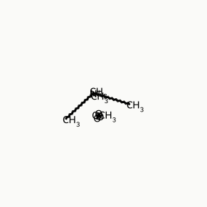 CCCCCCCCCCCCCCCCCC[N+](C)(C)CCCCCCCCCCCCCCCCCC.COS(=O)(=O)[O-]